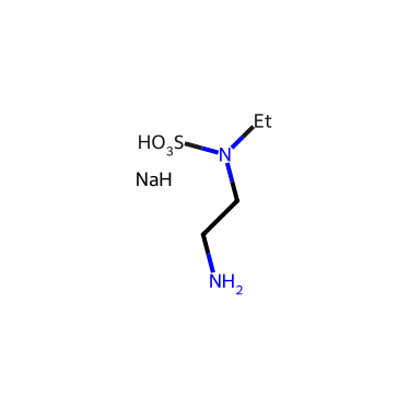 CCN(CCN)S(=O)(=O)O.[NaH]